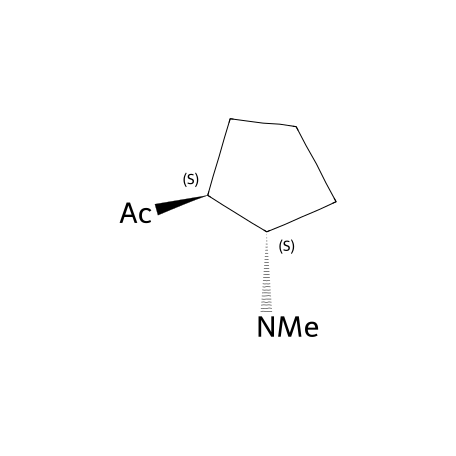 CN[C@H]1CCC[C@@H]1C(C)=O